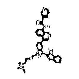 C[Si](C)(C)CCOCn1nc(-c2nc3ccccc3[nH]2)c2cc(-c3cncc4c(NC(=O)c5cccnc5)cccc34)ccc21